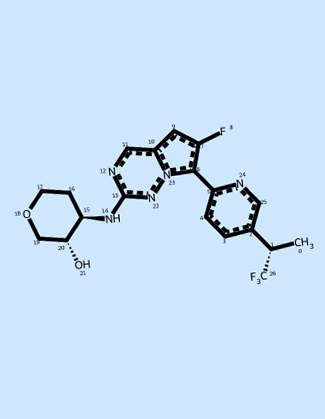 C[C@@H](c1ccc(-c2c(F)cc3cnc(N[C@@H]4CCOC[C@H]4O)nn23)nc1)C(F)(F)F